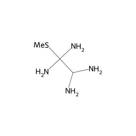 CSC(N)(N)C(N)N